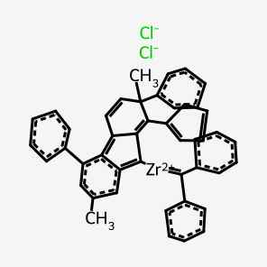 Cc1cc(-c2ccccc2)c2c(c1)=[C]([Zr+2]=[C](c1ccccc1)c1ccccc1)C1=C(C3=CC=CC3)C(C)(c3ccccc3)C=CC=21.[Cl-].[Cl-]